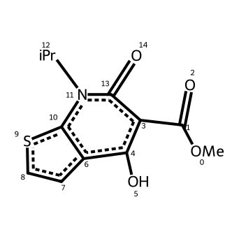 COC(=O)c1c(O)c2ccsc2n(C(C)C)c1=O